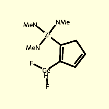 C[NH][Zr]([NH]C)([NH]C)[C]1=[C]([GeH]([F])[F])C=CC1